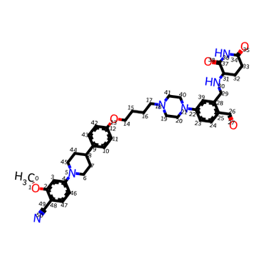 COc1cc(N2CCC(c3ccc(OCCCCN4CCN(c5ccc(C=O)c(CNC6CCC(=O)NC6=O)c5)CC4)cc3)CC2)ccc1C#N